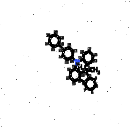 CC1(C)c2ccccc2-c2cccc(N(c3ccccc3)c3ccc(-c4ccccc4)cc3)c21